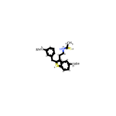 COc1cccc(Cc2sc3ccc(OC)cc3c2CCNC(C)=S)c1